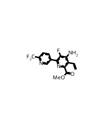 C=Cc1c(C(=O)OC)nc(-c2ccc(C(F)(F)F)nc2)c(F)c1N